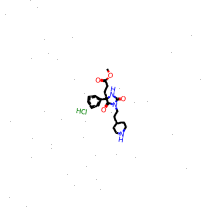 COC(=O)CCC1(c2ccccc2)NC(=O)N(CCC2CCNCC2)C1=O.Cl